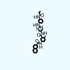 C=CC(=O)Nc1cccc(Nc2ncc(NC(=O)c3cc(NC(=O)c4ccc5ccccc5c4)ccc3C)cn2)c1